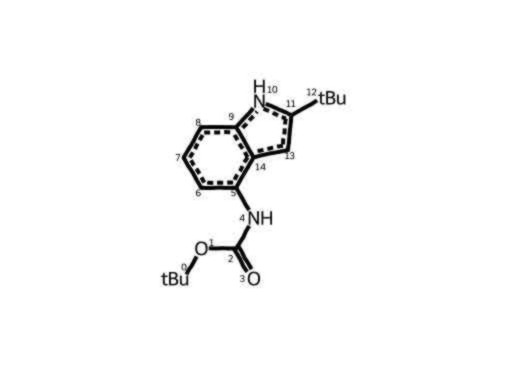 CC(C)(C)OC(=O)Nc1cccc2[nH]c(C(C)(C)C)cc12